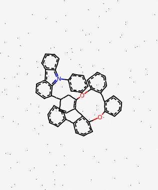 C1=CC(c2cccc3c4ccccc4n(-c4ccccc4)c23)CC2=C1c1c(cccc1-c1ccccc1)Oc1ccccc1-c1ccccc1O2